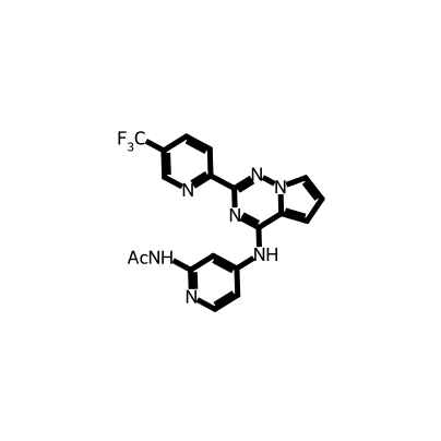 CC(=O)Nc1cc(Nc2nc(-c3ccc(C(F)(F)F)cn3)nn3cccc23)ccn1